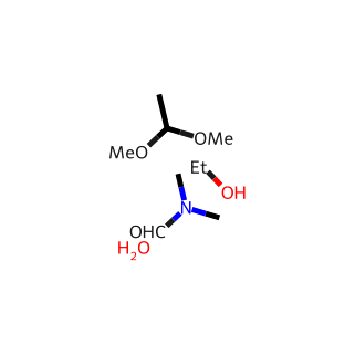 CCO.CN(C)C=O.COC(C)OC.O